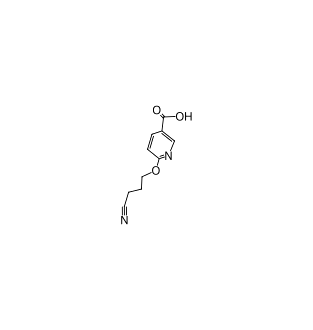 N#CCCCOc1ccc(C(=O)O)cn1